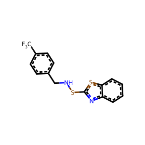 FC(F)(F)c1ccc(CNSc2nc3ccccc3s2)cc1